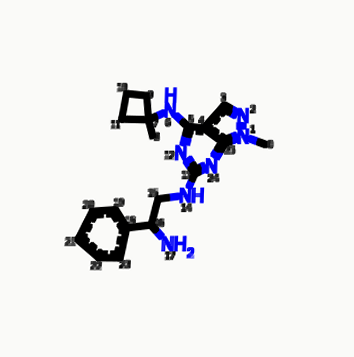 Cn1ncc2c(NC3(C)CCC3)nc(NCC(N)c3ccccc3)nc21